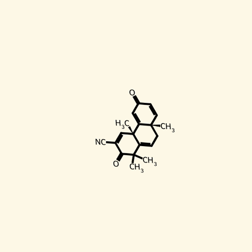 CC1(C)C(=O)C(C#N)=C[C@@]2(C)C1=CC[C@@]1(C)C=CC(=O)C=C21